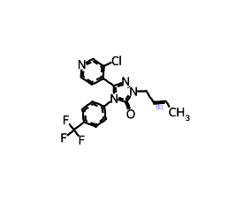 C/C=C/Cn1nc(-c2ccncc2Cl)n(-c2ccc(C(F)(F)F)cc2)c1=O